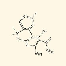 CCCCCc1cc2c(c(O)c1C(=O)NC)-c1cc(C)ccc1C(C)(C)O2